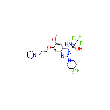 COc1cc2c(N[C@@H](O)C(F)(F)F)nc(N3CCC(F)(F)CC3)nc2cc1OCCCN1CCCC1